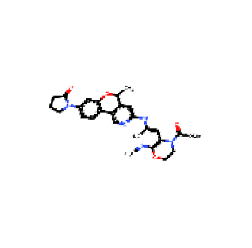 C=NC1=C(/C=C(\C)Nc2cc3c(cn2)-c2ccc(N4CCCC4=O)cc2OC3C)N(C(=O)OC)CCO1